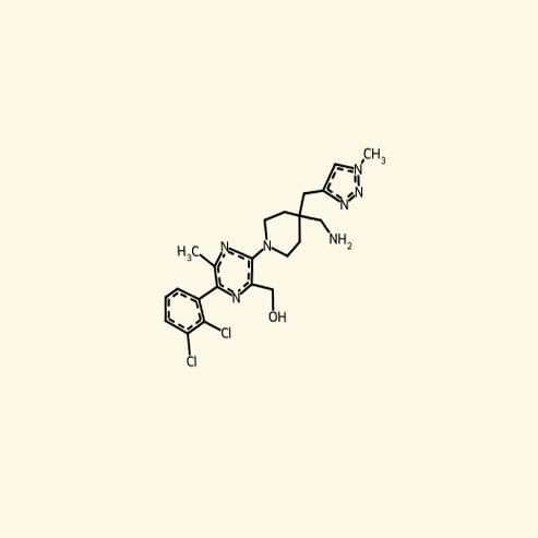 Cc1nc(N2CCC(CN)(Cc3cn(C)nn3)CC2)c(CO)nc1-c1cccc(Cl)c1Cl